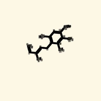 C=C/C(C)=C/Cc1c(C)cc(OC)c(C)c1C